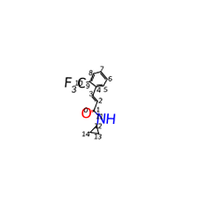 O=C(/C=C/c1ccccc1C(F)(F)F)NC1CC1